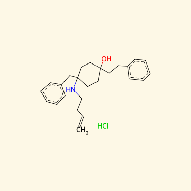 C=CCCNC1(Cc2ccccc2)CCC(O)(CCc2ccccc2)CC1.Cl